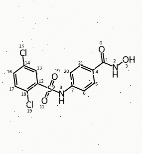 O=C(NO)c1ccc(NS(=O)(=O)c2cc(Cl)ccc2Cl)cc1